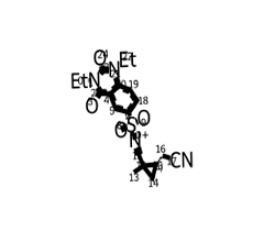 CCn1c(=O)c2cc(S(=O)(=O)[N+]#CC3(C)C[C@H]3CC#N)ccc2n(CC)c1=O